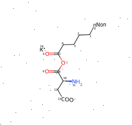 CCCCCCCCCCCCCC(=O)OC(=O)[C@@H](N)CC(=O)[O-].[K+]